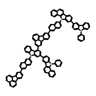 c1ccc(-n2c3ccccc3c3cc(-c4ccc5c6ccc7ccccc7c6n(-c6ccc7cc(-c8ccc9c(c8)-c8cccc%10cc(-c%11cc(-c%12ccc%13c(c%12)c%12ccc%14ccccc%14c%12n%13-c%12ccccc%12)cc%12c%11c%11ccccc%11n%12-c%11ccc%12cc(-c%13ccc%14c(c%13)-c%13cccc%15cccc-%14c%13%15)ccc%12c%11)cc-9c8%10)ccc7c6)c5c4)ccc32)cc1